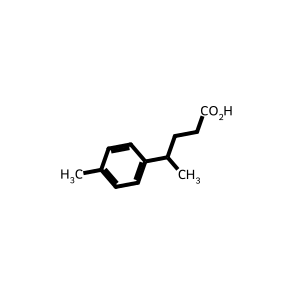 Cc1ccc(C(C)CCC(=O)O)cc1